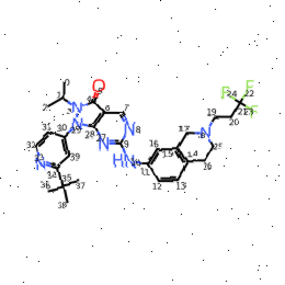 CC(C)n1c(=O)c2cnc(Nc3ccc4c(c3)CN(CCC(F)(F)F)CC4)nc2n1-c1ccnc(C(C)(C)C)c1